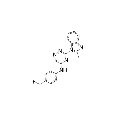 Cc1nc2ccccc2n1-c1nncc(Nc2ccc(CF)cc2)n1